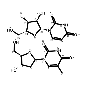 Cc1cn([C@H]2C[C@H](O)[C@@H](CO)O2)c(=O)[nH]c1=O.O=c1ccn([C@@H]2O[C@H](CO)[C@@H](O)[C@H]2O)c(=O)[nH]1